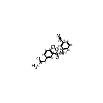 CC(=O)Cc1ccc(Cl)c(S(=O)(=O)Nc2cccc(C#N)c2)c1